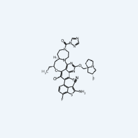 CC[C@H]1C[C@H]2CCN(C(=O)n3cncn3)CCN2c2nc(OC[C@@]34CCCN3C[C@H](F)C4)nc3c(F)c(-c4ccc(F)c5sc(N)c(C#N)c45)c(Cl)c(c23)O1